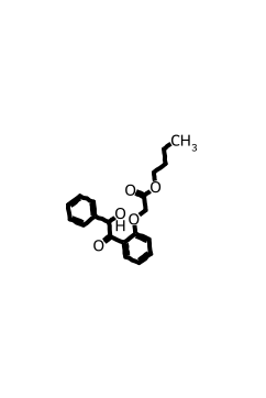 CCCCOC(=O)COc1ccccc1C(=O)C(O)c1ccccc1